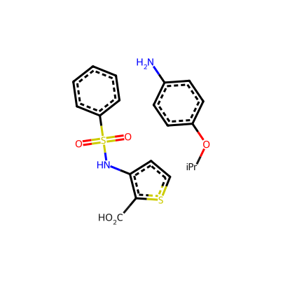 CC(C)Oc1ccc(N)cc1.O=C(O)c1sccc1NS(=O)(=O)c1ccccc1